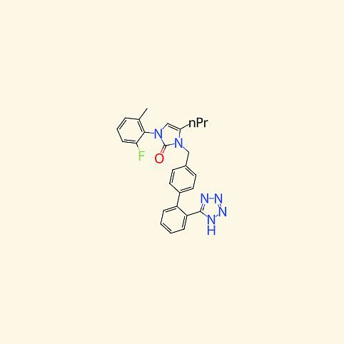 CCCc1cn(-c2c(C)cccc2F)c(=O)n1Cc1ccc(-c2ccccc2-c2nnn[nH]2)cc1